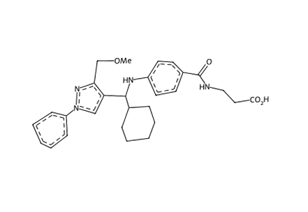 COCc1nn(-c2ccccc2)cc1C(Nc1ccc(C(=O)NCCC(=O)O)cc1)C1CCCCC1